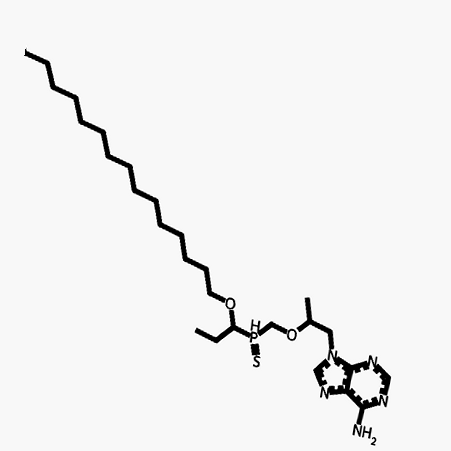 CCCCCCCCCCCCCCCCOC(CC)[PH](=S)COC(C)Cn1cnc2c(N)ncnc21